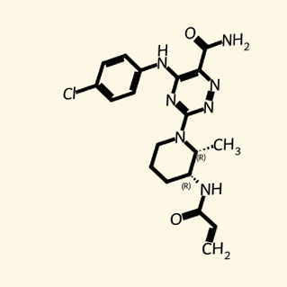 C=CC(=O)N[C@@H]1CCCN(c2nnc(C(N)=O)c(Nc3ccc(Cl)cc3)n2)[C@@H]1C